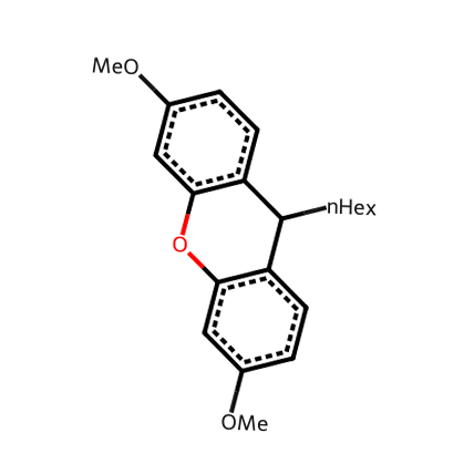 CCCCCCC1c2ccc(OC)cc2Oc2cc(OC)ccc21